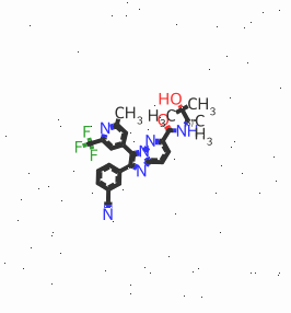 Cc1cc(-c2c(-c3cccc(C#N)c3)nc3ccc(C(=O)N[C@@H](C)C(C)(C)O)nn23)cc(C(F)(F)F)n1